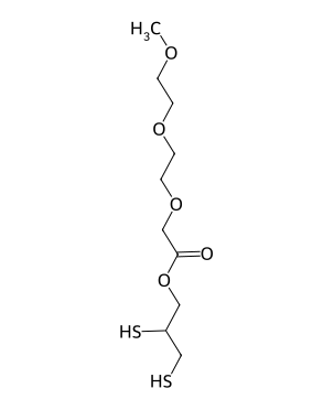 COCCOCCOCC(=O)OCC(S)CS